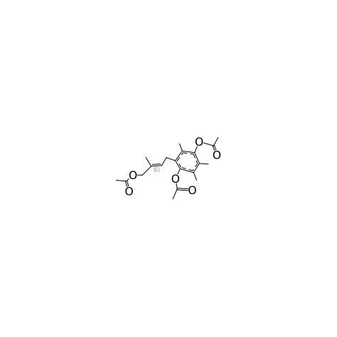 CC(=O)OC/C(C)=C/Cc1c(C)c(OC(C)=O)c(C)c(C)c1OC(C)=O